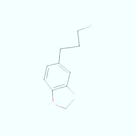 BrCCCc1ccc2c(c1)OCO2